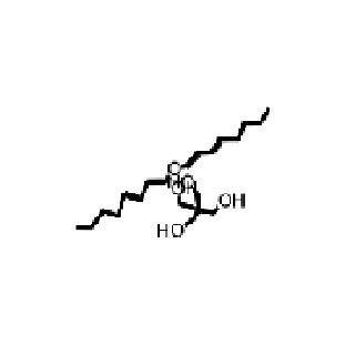 CCCCC=CC=COC=CC=CCCCC.OCC(CO)(CO)CO